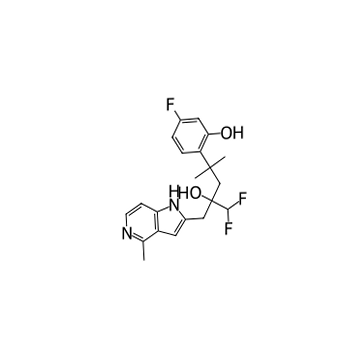 Cc1nccc2[nH]c(CC(O)(CC(C)(C)c3ccc(F)cc3O)C(F)F)cc12